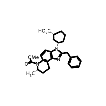 COC(=O)N1c2ccc3c(nc(Cc4ccccc4)n3[C@H]3CCC[C@@H](C(=O)O)C3)c2CC[C@@H]1C